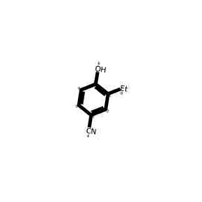 CCc1cc(C#N)ccc1O